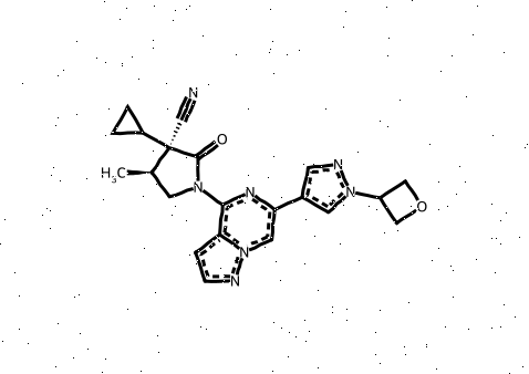 C[C@@H]1CN(c2nc(-c3cnn(C4COC4)c3)cn3nccc23)C(=O)[C@]1(C#N)C1CC1